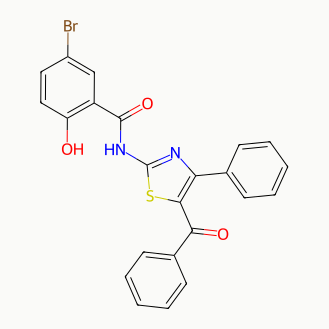 O=C(Nc1nc(-c2ccccc2)c(C(=O)c2ccccc2)s1)c1cc(Br)ccc1O